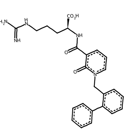 N=C(N)NCCC[C@H](NC(=O)c1cccn(Cc2ccccc2-c2ccccc2)c1=O)C(=O)O